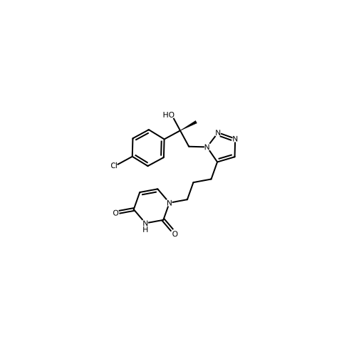 C[C@@](O)(Cn1nncc1CCCn1ccc(=O)[nH]c1=O)c1ccc(Cl)cc1